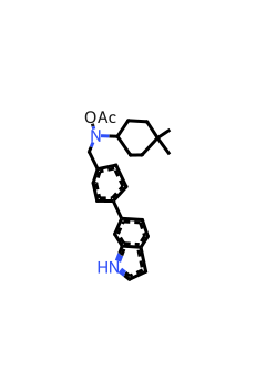 CC(=O)ON(Cc1ccc(-c2ccc3cc[nH]c3c2)cc1)C1CCC(C)(C)CC1